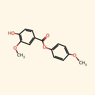 COc1ccc(OC(=O)c2ccc(O)c(OC)c2)cc1